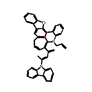 C=CCN(C1=C(C(=C)/C=C(\C)n2c3ccccc3c3ccccc32)C=CCC=C1)c1ccccc1-c1cccc2c1oc1ccccc12